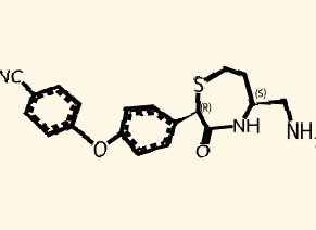 N#Cc1ccc(Oc2ccc([C@H]3SCC[C@@H](CN)NC3=O)cc2)cc1